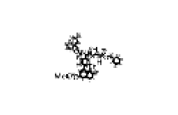 CCc1c(F)ccc2cc(OCOC)cc(-c3ncc4c(N(C)CCNC(=O)OCc5ccccc5)nc(OC[C@@]56CCCN5C[C@H](F)C6)nc4c3F)c12